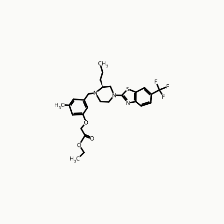 CCC[C@H]1CN(c2nc3ccc(C(F)(F)F)cc3s2)CCN1Cc1cc(C)cc(OCC(=O)OCC)c1